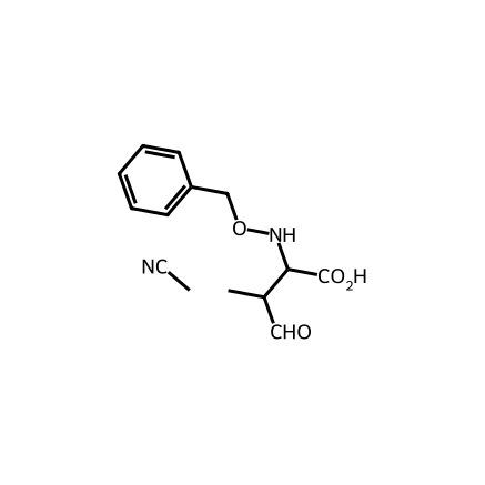 CC#N.CC(C=O)C(NOCc1ccccc1)C(=O)O